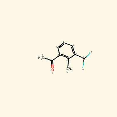 CC(=O)c1cccc(C(F)F)c1C